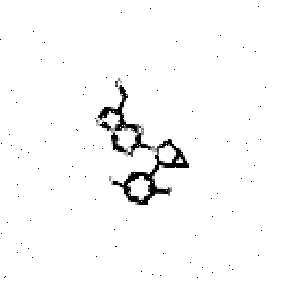 O=Cc1cnn2cnc(N3CC4CC4C3c3cc(F)ccc3F)nc12